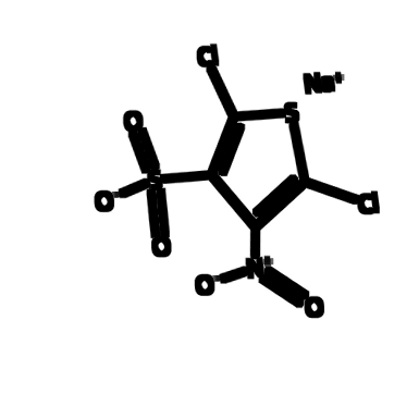 O=[N+]([O-])c1c(Cl)sc(Cl)c1S(=O)(=O)[O-].[Na+]